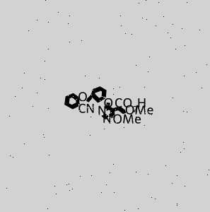 CO/C=C(\C(=O)O)c1c(OC)ncnc1Oc1cccc(COc2ccccc2C#N)c1